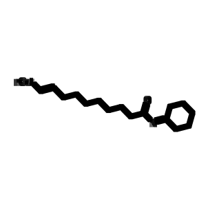 CCCCCCCCC=CCCCCCCCC(=O)N=C1CCCCC1